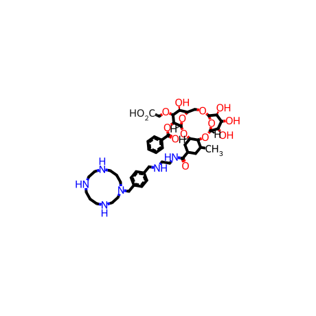 CC1CC(C(=O)NCCNCc2ccc(CN3CCCNCCNCCCNCC3)cc2)C[C@H]2O[C@@H]3OC(COC4O[C@@H](OC12)C(O)C(O)[C@@H]4O)[C@H](O)C(OCC(=O)O)C3OC(=O)c1ccccc1